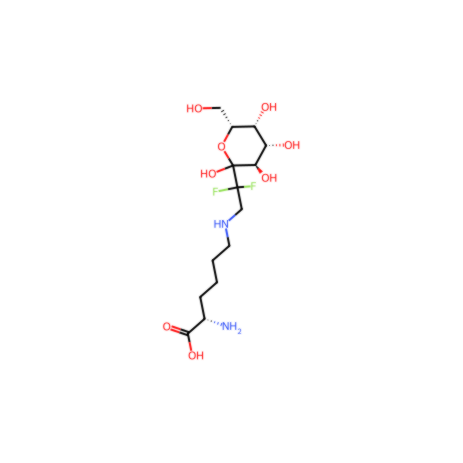 N[C@@H](CCCCNCC(F)(F)C1(O)O[C@H](CO)[C@H](O)[C@H](O)[C@H]1O)C(=O)O